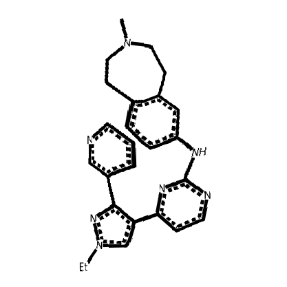 CCn1cc(-c2ccnc(Nc3ccc4c(c3)CCN(C)CC4)n2)c(-c2cccnc2)n1